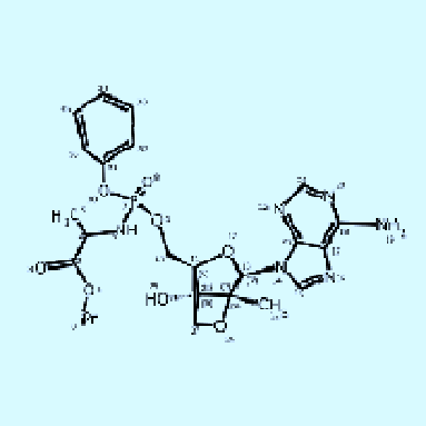 CC(C)OC(=O)C(C)NP(=O)(OC[C@]12O[C@@H](n3cnc4c(N)ncnc43)[C@]3(C)OC1[C@@]23O)Oc1ccccc1